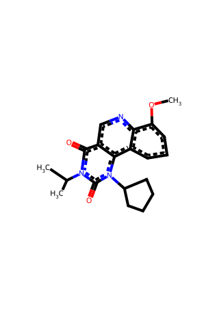 COc1cccc2c1ncc1c(=O)n(C(C)C)c(=O)n(C3CCCC3)c12